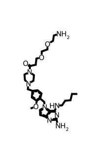 CCCCCNc1nc(N)nc2ccn(Cc3ccc(CN4CCN(C(=O)CCOCCOCCN)CC4)cc3OC)c12